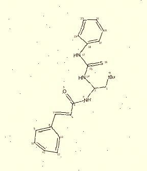 CC(C)(C)CC(NC(=O)C=Cc1ccccc1)NC(=S)Nc1ccccc1